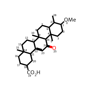 COC1CCC2(C)C(CCC3(C)C4CCC5(C)CCC(C(=O)O)CC5C4=CC(=O)C32)C1C